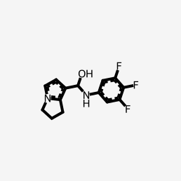 OC(Nc1cc(F)c(F)c(F)c1)c1ccn2c1CCC2